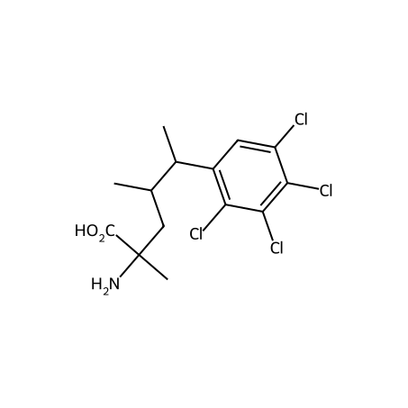 CC(CC(C)(N)C(=O)O)C(C)c1cc(Cl)c(Cl)c(Cl)c1Cl